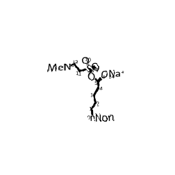 CCCCCCCCCCCCCC(=O)OS(=O)(=O)CC[N-]C.[Na+]